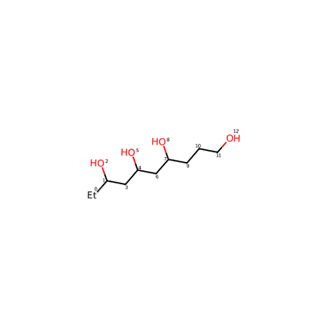 CCC(O)CC(O)CC(O)CCCO